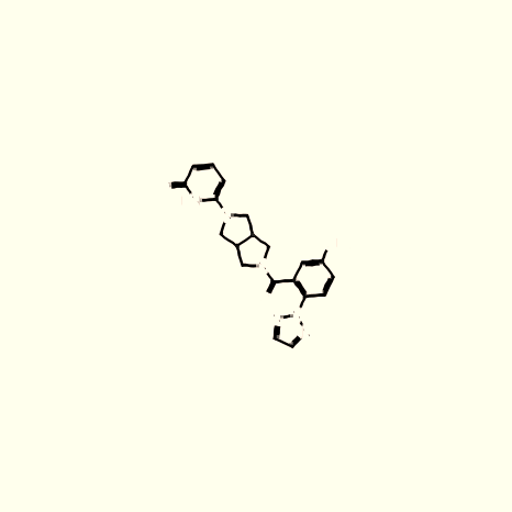 Cc1ccc(-n2nccn2)c(C(=O)N2CC3CN(c4cccc(=O)[nH]4)CC3C2)c1